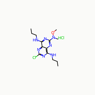 CCCNc1nc(N(C)OC)nc2c(NCCC)nc(Cl)nc12.Cl